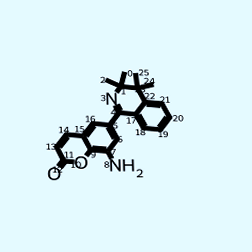 CC1(C)N=C(c2cc(N)c3oc(=O)ccc3c2)c2ccccc2C1(C)C